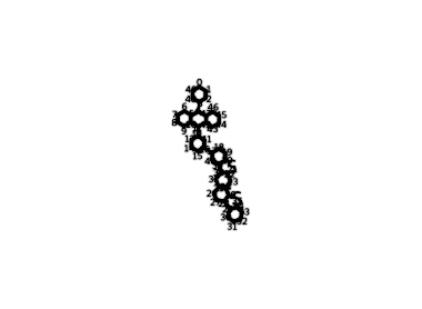 c1ccc(-c2c3ccccc3c(-c3cccc(-c4ccc5sc6cc7c(ccc8c9ccccc9sc78)cc6c5c4)c3)c3ccccc23)cc1